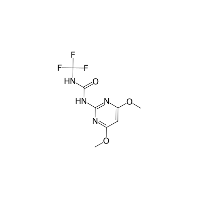 COc1cc(OC)nc(NC(=O)NC(F)(F)F)n1